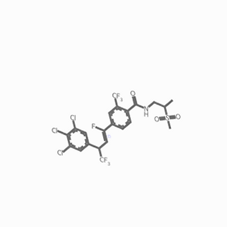 CC(CNC(=O)c1ccc(/C(F)=C/C(c2cc(Cl)c(Cl)c(Cl)c2)C(F)(F)F)cc1C(F)(F)F)S(C)(=O)=O